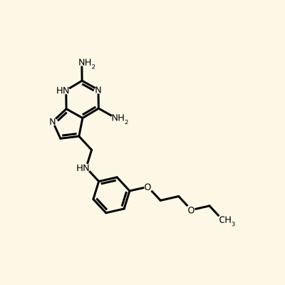 CCOCCOc1cccc(NCc2cnc3[nH]c(N)nc(N)c2-3)c1